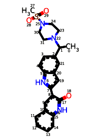 CC(c1ccc2[nH]c(-c3cc4ccccc4[nH]c3=O)cc2c1)N1CCN(S(C)(=O)=O)CC1